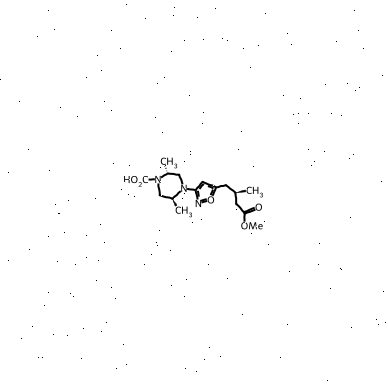 COC(=O)C[C@H](C)Cc1cc(N2C[C@@H](C)N(C(=O)O)C[C@@H]2C)no1